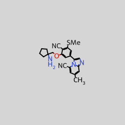 CSc1cc(-c2cnc3cc(C)cc(C#N)n23)cc(OCC2(N)CCCC2)c1C#N